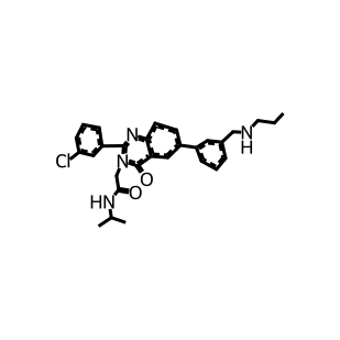 CCCNCc1cccc(-c2ccc3nc(-c4cccc(Cl)c4)n(CC(=O)NC(C)C)c(=O)c3c2)c1